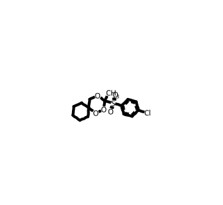 CC1(S(=O)(=O)c2ccc(Cl)cc2)OCC2(CCCCC2)OO1